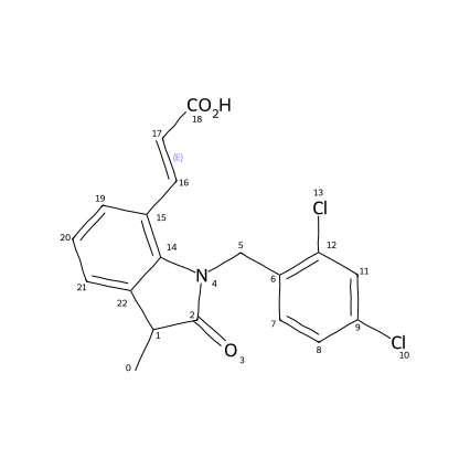 CC1C(=O)N(Cc2ccc(Cl)cc2Cl)c2c(/C=C/C(=O)O)cccc21